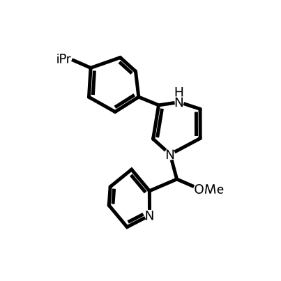 COC(c1ccccn1)N1C=CNC(c2ccc(C(C)C)cc2)=C1